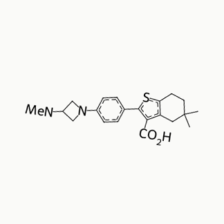 CNC1CN(c2ccc(-c3sc4c(c3C(=O)O)CC(C)(C)CC4)cc2)C1